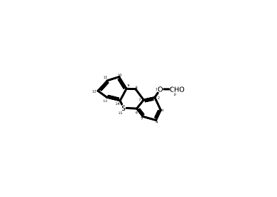 O=COc1cccc2c1Cc1ccccc1S2